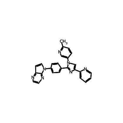 Cc1ccc(-n2cc(-c3ccccn3)nc2-c2ccc(-n3ccc4nccnc43)cc2)cn1